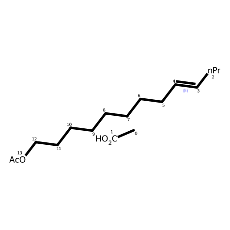 CC(=O)O.CCC/C=C/CCCCCCCCOC(C)=O